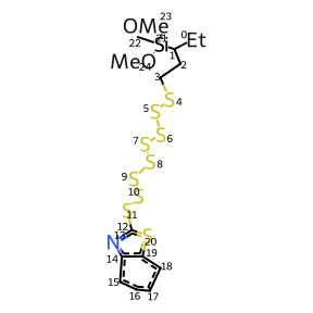 CCC(CCSSSSSSSSc1nc2ccccc2s1)[Si](C)(OC)OC